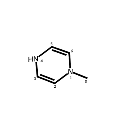 CN1C=CNC=C1